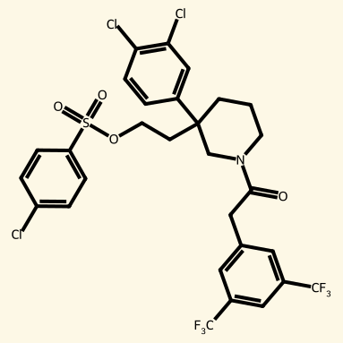 O=C(Cc1cc(C(F)(F)F)cc(C(F)(F)F)c1)N1CCCC(CCOS(=O)(=O)c2ccc(Cl)cc2)(c2ccc(Cl)c(Cl)c2)C1